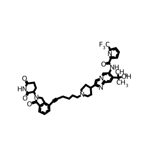 CC(C)(O)c1cc2nc(C3CCN(CCCCC#Cc4cccc5c4CN(C4CCC(=O)NC4=O)C5=O)CC3)cn2cc1NC(=O)c1cccc(C(F)(F)F)n1